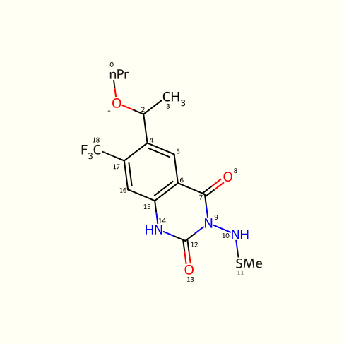 CCCOC(C)c1cc2c(=O)n(NSC)c(=O)[nH]c2cc1C(F)(F)F